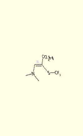 CN(C)/C=C(\SC(F)(F)F)C(=O)O